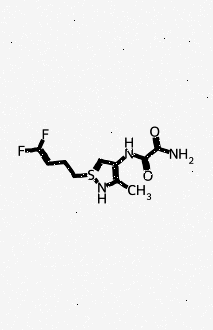 CC1=C(NC(=O)C(N)=O)C=S(CCC=C(F)F)N1